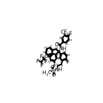 CS(=O)(=O)NCCc1cc(C(Cc2ccccc2)(NC(=O)c2ccc(F)c(C(F)(F)F)c2)c2cc(F)cc(OC(F)(F)C(F)F)c2)ccc1F